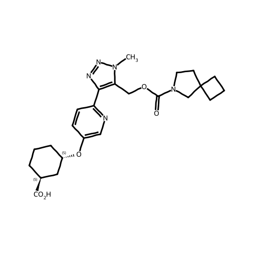 Cn1nnc(-c2ccc(O[C@H]3CCC[C@H](C(=O)O)C3)cn2)c1COC(=O)N1CCC2(CCC2)C1